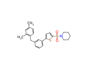 Cc1ccc(Cc2cccc(-c3ccc(S(=O)(=O)N4CCCCC4)s3)c2)c(C)c1